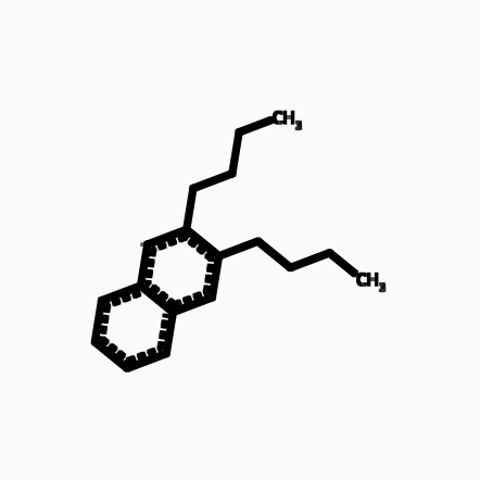 CCCCc1[c]c2ccccc2cc1CCCC